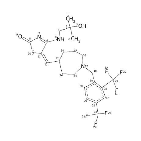 CC(C)(O)CNC1=NC(=O)SC1=CC1CCCN(Cc2ccc(C(F)(F)F)cc2C(F)(F)F)CC1